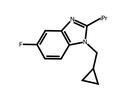 CC(C)c1nc2cc(F)ccc2n1CC1CC1